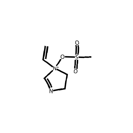 C=C[N+]1(OS(C)(=O)=O)C=NCC1